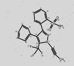 CC#Cn1nc(-c2ccccc2S(N)(=O)=O)c(-c2ccccc2)c1C(F)(F)F